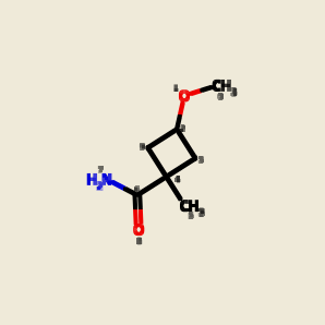 COC1CC(C)(C(N)=O)C1